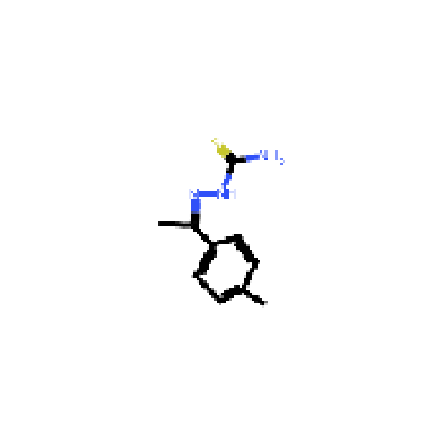 C/C(=N/NC(N)=S)c1ccc(C)cc1